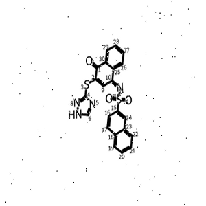 O=C1C(Sc2nc[nH]n2)=CC(=NS(=O)(=O)c2ccc3ccccc3c2)c2ccccc21